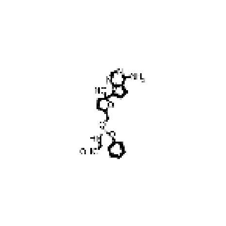 N#CC1(c2ccc3c(N)ncnn23)CCC(COP(NCC=O)Oc2ccccc2)O1